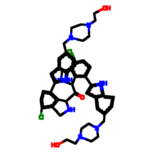 O=C(C1NCc2c(Cl)ccc(-c3cc4cc(CN5CCN(CCO)CC5)ccc4[nH]3)c21)C1NCc2c(Cl)ccc(-c3cc4cc(CN5CCN(CCO)CC5)ccc4[nH]3)c21